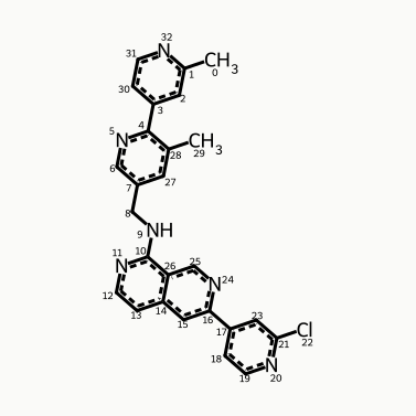 Cc1cc(-c2ncc(CNc3nccc4cc(-c5ccnc(Cl)c5)ncc34)cc2C)ccn1